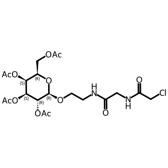 CC(=O)OC[C@H]1O[C@@H](OCCNC(=O)CNC(=O)CCl)[C@H](OC(C)=O)[C@@H](OC(C)=O)[C@H]1OC(C)=O